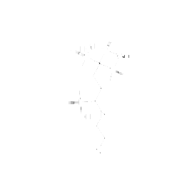 NCCNC(CCC(P(=O)(O)O)(P(=O)(O)O)P(=O)(O)O)P(=O)(O)O